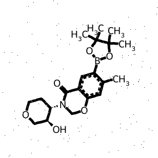 Cc1cc2c(cc1B1OC(C)(C)C(C)(C)O1)C(=O)N([C@H]1CCOC[C@@H]1O)CO2